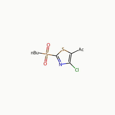 CCCCS(=O)(=O)c1nc(Cl)c(C(C)=O)s1